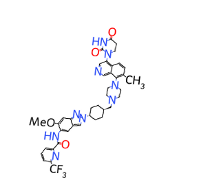 COc1cc2nn([C@H]3CC[C@H](CN4CCN(c5c(C)ccc6c(N7CCC(=O)NC7=O)cncc56)CC4)CC3)cc2cc1NC(=O)c1cccc(C(F)(F)F)n1